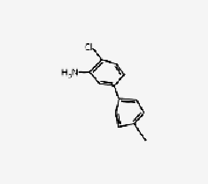 Cc1ccc(-c2ccc(Cl)c(N)c2)cc1